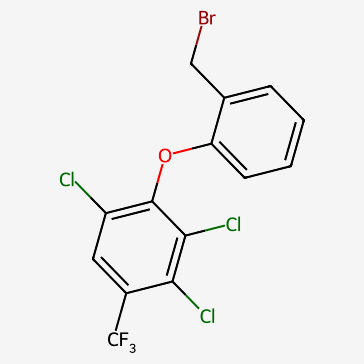 FC(F)(F)c1cc(Cl)c(Oc2ccccc2CBr)c(Cl)c1Cl